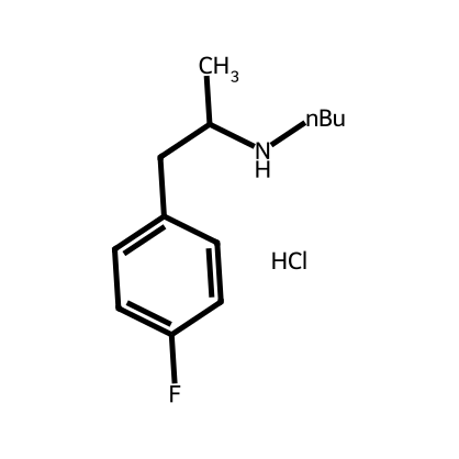 CCCCNC(C)Cc1ccc(F)cc1.Cl